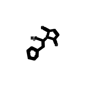 CC(=Cc1ccccc1)N1C(=O)C=CC1=O